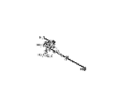 CC(=O)N1CCC[C@H]1C(=O)N[C@@H](CCCCN)C(=O)N[C@@H](CCC(=O)O)C(=O)N[C@@H](CNC(=O)CN(CC(=O)O)CC(=O)O)C(=O)N[C@@H](CCCCNC(=O)COCCOCCNC(=O)CCCCCCCCCCCCCCCc1nnn[nH]1)C(N)=O